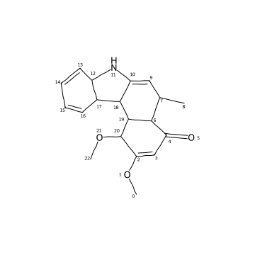 COC1=CC(=O)C2C(C)C=C3NC4C=CC=CC4C3C2C1OC